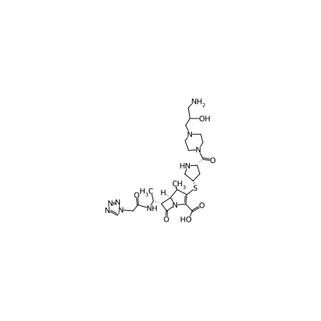 CC(NC(=O)Cn1cnnn1)[C@H]1C(=O)N2C(C(=O)O)=C(S[C@@H]3CN[C@H](C(=O)N4CCN(CC(O)CN)CC4)C3)[C@H](C)[C@H]12